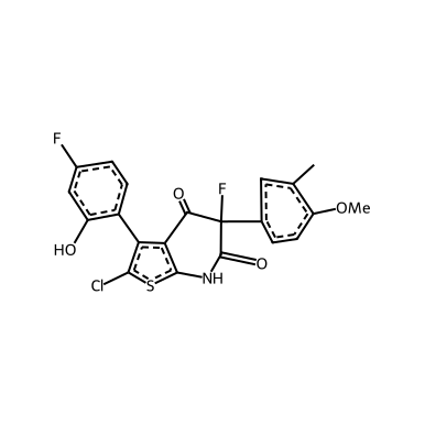 COc1ccc(C2(F)C(=O)Nc3sc(Cl)c(-c4ccc(F)cc4O)c3C2=O)cc1C